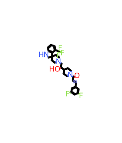 O=C(/C=C/c1cc(F)cc(F)c1)N1CCC(C(O)CN2CCC3(CC2)CNc2cccc(C(F)(F)F)c23)CC1